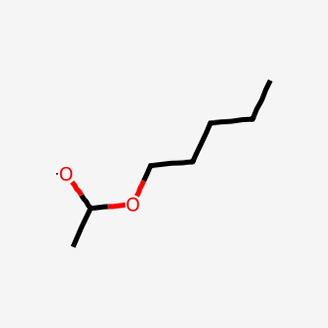 CCCCCOC(C)[O]